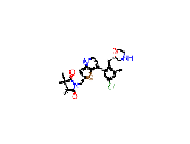 Cc1cc(Cl)cc(-c2ccnc3cc(CN4C(=O)C(C)C(C)(C)C4=O)sc23)c1C[C@@H]1CNCCO1